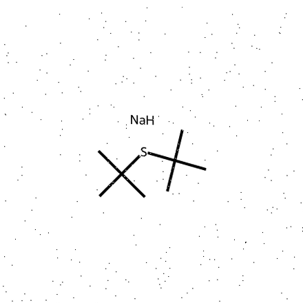 CC(C)(C)SC(C)(C)C.[NaH]